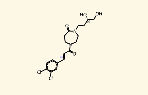 O=C(/C=C/c1ccc(Cl)c(Cl)c1)N1CCC(=O)N(CC[C@H](O)CO)CC1